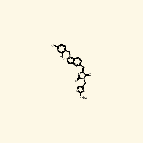 CC(=O)Nc1nc(CN2C(=O)SC(=Cc3ccc4c(cnn4Cc4ccc(Cl)cc4C(F)(F)F)c3)C2=O)cs1